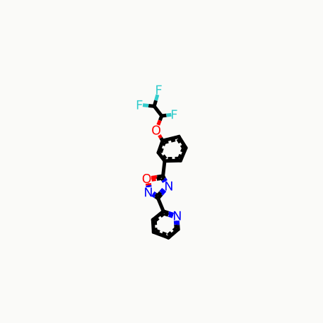 FC(F)C(F)Oc1cccc(-c2nc(-c3ccccn3)no2)c1